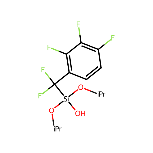 CC(C)O[Si](O)(OC(C)C)C(F)(F)c1ccc(F)c(F)c1F